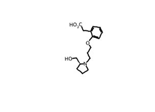 O=C(O)Cc1ccccc1OCCCN1CCC[C@H]1CO